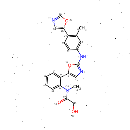 Cc1cc(Nc2ncc(-c3ccccc3N(C)C(=O)CO)o2)ccc1-c1cnco1